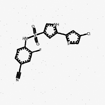 N#Cc1ccc(NS(=O)(=O)c2c[nH]c(-c3cc(Cl)cs3)c2)c(F)c1